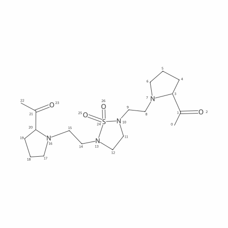 CC(=O)C1CCCN1CCN1CCN(CCN2CCCC2C(C)=O)S1(=O)=O